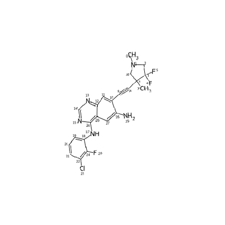 CN1CC(F)(F)C(C)(C#Cc2cc3ncnc(Nc4cccc(Cl)c4F)c3cc2N)C1